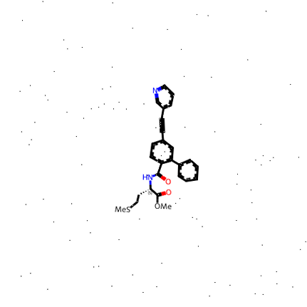 COC(=O)[C@H](CCSC)NC(=O)c1ccc(C#Cc2cccnc2)cc1-c1ccccc1